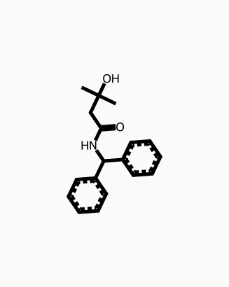 CC(C)(O)CC(=O)NC(c1ccccc1)c1ccccc1